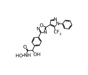 O=C(NO)C(O)c1ccc(-c2noc(-c3cnn(-c4ccccc4)c3C(F)(F)F)n2)cc1